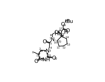 Cc1cn(CC(=O)N(CC(=O)O)[C@H]2CCCC[C@@H]2NC(=O)OC(C)(C)C)c(=O)[nH]c1=O